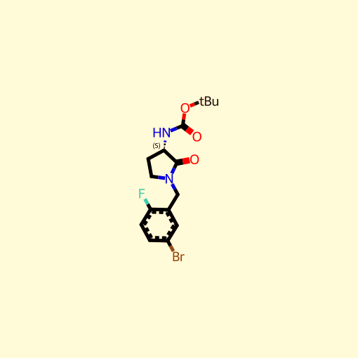 CC(C)(C)OC(=O)N[C@H]1CCN(Cc2cc(Br)ccc2F)C1=O